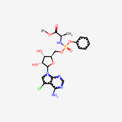 CC(C)OC(=O)[C@@H](C)NP(=O)(OC[C@H]1OC(n2cc(Cl)c3c(N)ncnc32)[C@H](O)[C@@H]1O)Oc1ccccc1